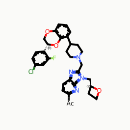 CC(=O)c1ccc2nc(CN3CCC(c4cccc5c4O[C@H](c4ccc(Cl)cc4F)CO5)CC3)n(C[C@@H]3CCO3)c2n1